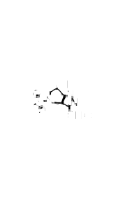 CS(=O)(=O)N1CCc2[nH]nc(C=O)c2C1